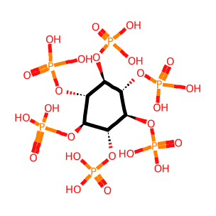 O=P(O)(O)O[C@H]1[C@H](OP(=O)(O)O)[C@@H](OP(=O)(O)O)[C@H](OP(=O)(O)O)[C@@H](OP(=O)(O)O)[C@@H]1OP(=O)(O)O